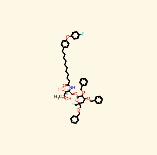 C[C@@H](O)[C@@H](O)[C@H](CO[C@H]1OC(CF)(COCc2ccccc2)CC(OCc2ccccc2)C1OCc1ccccc1)NC(=O)CCCCCCCCCCc1ccc(Oc2ccc(F)cc2)cc1